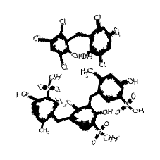 Cc1cc(O)c(S(=O)(=O)O)cc1Cc1cc(S(=O)(=O)O)c(O)c(Cc2cc(S(=O)(=O)O)c(O)cc2C)c1C.Oc1c(Cl)cc(Cl)c(Cl)c1Cc1c(O)c(Cl)cc(Cl)c1Cl